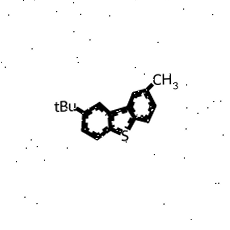 Cc1ccc2sc3ccc(C(C)(C)C)cc3c2c1